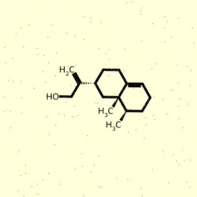 C=C(CO)[C@@H]1CCC2=CCC[C@@H](C)[C@]2(C)C1